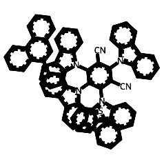 N#Cc1c(-n2c3ccccc3c3ccccc32)c(C#N)c(-n2c3ccccc3c3ccccc32)c(-n2c3cc(-c4cc5ccccc5c5ccccc45)ccc3c3ccc4c5ccccc5sc4c32)c1-n1c2ccccc2c2ccccc21